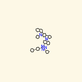 c1ccc(-c2ccc(-c3nc(-c4ccccc4)nc(-c4ccc(-n5c6ccccc6c6cc7c8ccc9ccccc9c8n(-c8ccccc8)c7cc65)c5ccccc45)n3)cc2)cc1